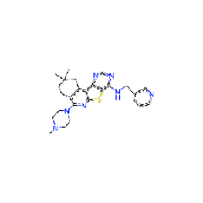 CN1CCN(c2nc3sc4c(NCc5cccnc5)ncnc4c3c3c2CCC(C)(C)C3)CC1